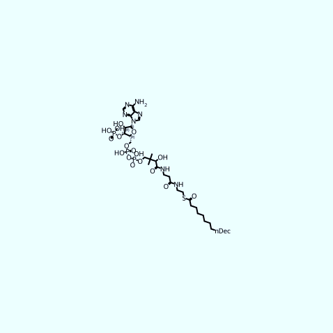 CCCCCCCCCCCCCCCCCC(=O)SCCNC(=O)CCNC(=O)C(O)C(C)(C)COP(=O)(O)OP(=O)(O)OC[C@H]1O[C@@H](n2cnc3c(N)ncnc32)[C@H](O)[C@@H]1OP(=O)(O)O